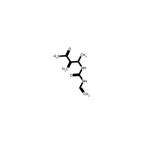 C=CNC(=O)NC(C)C(=C)C(N)=O